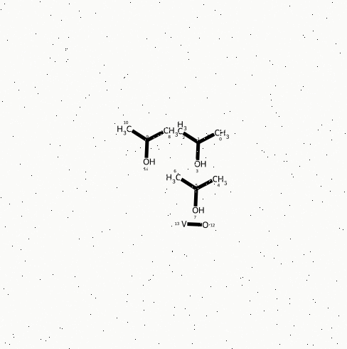 CC(C)O.CC(C)O.CC(C)O.[O][V]